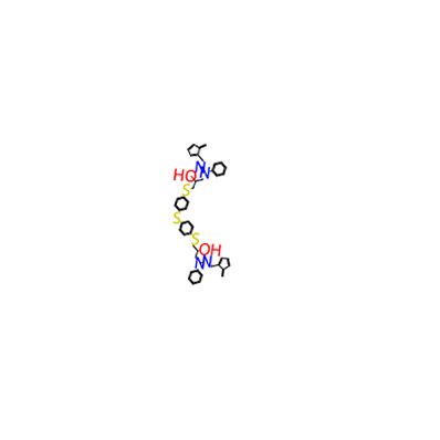 C=C1C=CC=C1/C=N/N(CC(O)CSc1ccc(Sc2ccc(SCC(O)CN(/N=C/C3=CC=CC3=C)c3ccccc3)cc2)cc1)c1ccccc1